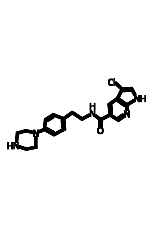 O=C(NCCc1ccc(N2CCNCC2)cc1)c1cnc2[nH]cc(Cl)c2c1